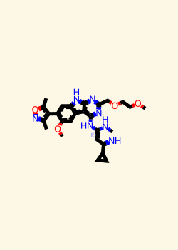 CN/C(=C\C(=N)C1CC1)Nc1nc(COCCOC)nc2[nH]c3cc(-c4c(C)noc4C)c(OC)cc3c12